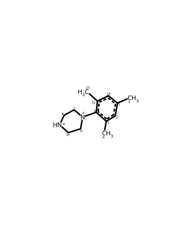 Cc1cc(C)c(N2CCNCC2)c(C)c1